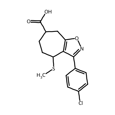 CSC1CCC(C(=O)O)Cc2onc(-c3ccc(Cl)cc3)c21